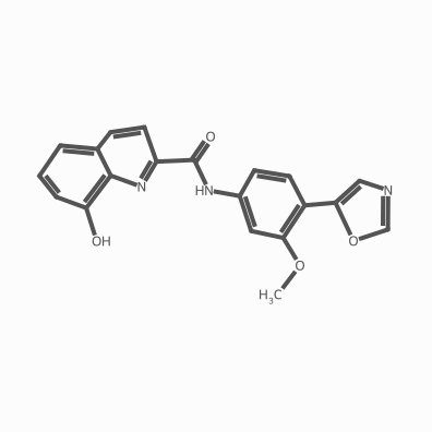 COc1cc(NC(=O)c2ccc3cccc(O)c3n2)ccc1-c1cnco1